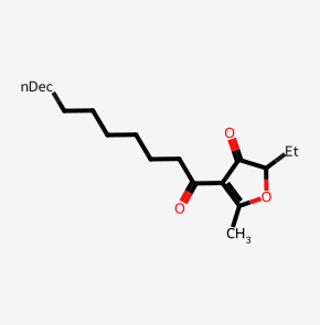 CCCCCCCCCCCCCCCCC(=O)C1=C(C)OC(CC)C1=O